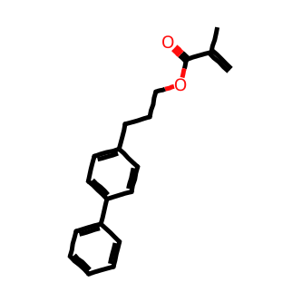 C=C(C)C(=O)OCCCc1ccc(-c2ccccc2)cc1